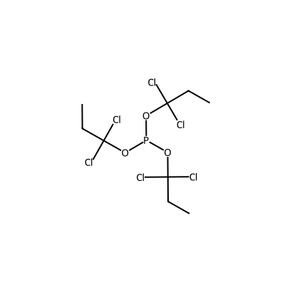 CCC(Cl)(Cl)OP(OC(Cl)(Cl)CC)OC(Cl)(Cl)CC